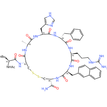 CCCC[C@H](NC(C)=O)C(=O)N[C@H]1CSSC[C@@H](C(N)=O)NC(=O)[C@H](Cc2ccc3ccccc3c2)NC(=O)[C@H](CCCNC(=N)N)NC(=O)[C@@H](Cc2ccccc2)NC(=O)[C@H](Cc2c[nH]cn2)NC(=O)[C@@H](C)NC1=O